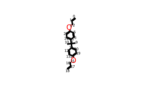 C=CCOc1ccc(C(C)(C)c2ccc(OCC=C)cc2)cc1